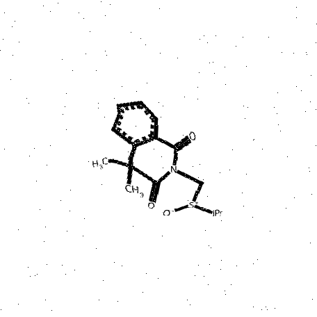 CC(C)[S+]([O-])CN1C(=O)c2ccccc2C(C)(C)C1=O